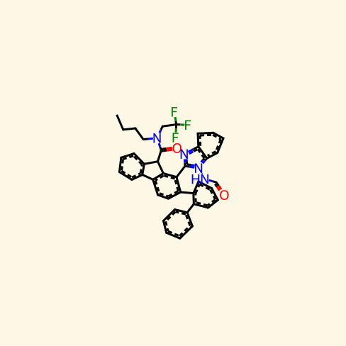 CCCCN(CC(F)(F)F)C(=O)C1c2ccccc2-c2ccc(-c3ccccc3-c3ccccc3)c(-c3nc4ccccc4n3NC=O)c21